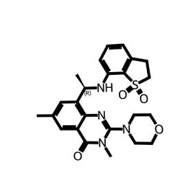 Cc1cc([C@@H](C)Nc2cccc3c2S(=O)(=O)CC3)c2nc(N3CCOCC3)n(C)c(=O)c2c1